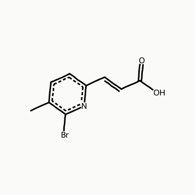 Cc1ccc(C=CC(=O)O)nc1Br